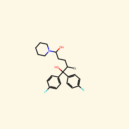 CCC(CCC(O)N1CCCCC1)C(O)(c1ccc(F)cc1)c1ccc(F)cc1